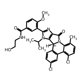 COc1ccc(C(=O)NCCO)cc1-c1nc2c(n1C(C)C)[C@H]1c3ccc(Cl)cc3-c3c(Cl)ccc(C)c3N1C2=O